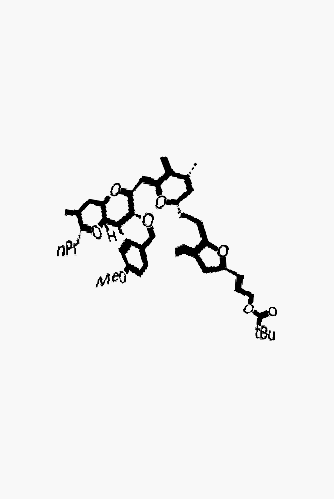 C=C1C[C@H](CCCOC(=O)C(C)(C)C)OC1CC[C@H]1C[C@@H](C)C(=C)C(C[C@@H]2OC3CC(C)[C@@H](CCC)O[C@H]3[C@H](C)[C@H]2OCc2ccc(OC)cc2)O1